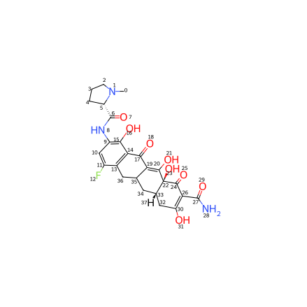 CN1CCC[C@H]1C(=O)Nc1cc(F)c2c(c1O)C(=O)C1=C(O)[C@]3(O)C(=O)C(C(N)=O)=C(O)C[C@@H]3CC1C2